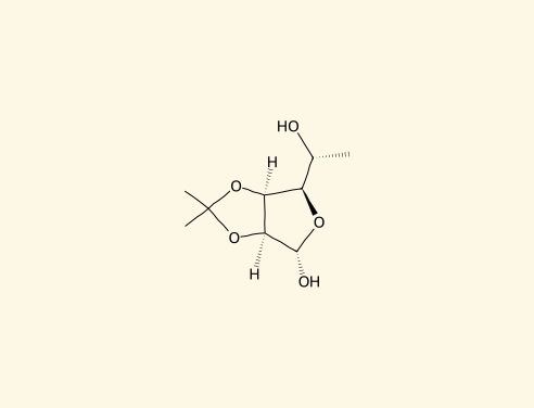 C[C@@H](O)[C@H]1O[C@H](O)[C@H]2OC(C)(C)O[C@@H]12